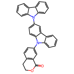 O=C1OCCc2ccc(-n3c4ccccc4c4cc(-n5c6ccccc6c6ccccc65)ccc43)cc21